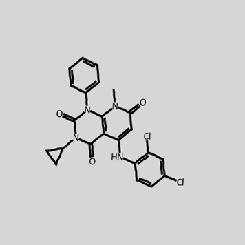 Cn1c(=O)cc(Nc2ccc(Cl)cc2Cl)c2c(=O)n(C3CC3)c(=O)n(-c3ccccc3)c21